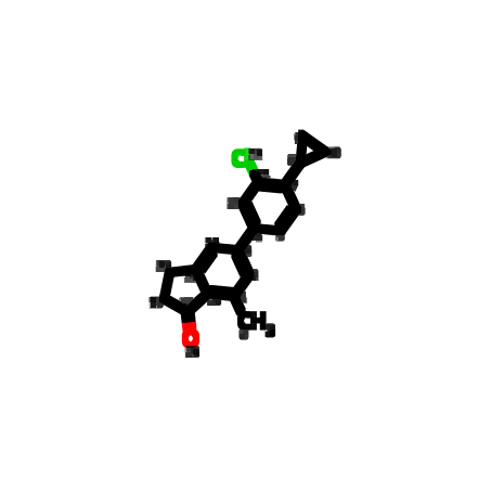 Cc1cc(-c2ccc(C3CC3)c(Cl)c2)cc2c1C(=O)CC2